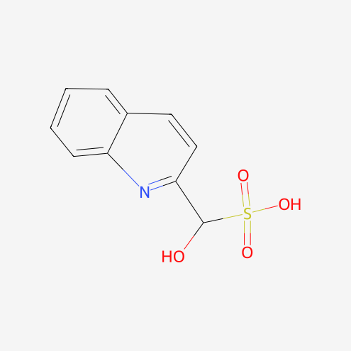 O=S(=O)(O)C(O)c1ccc2ccccc2n1